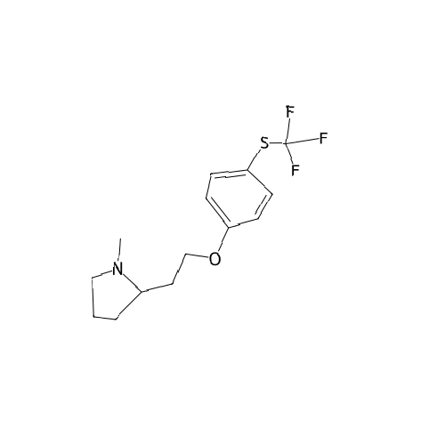 CN1CCCC1CCOc1ccc(SC(F)(F)F)cc1